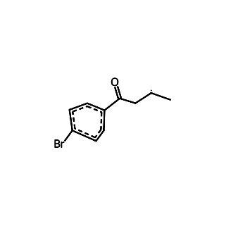 C[CH]CC(=O)c1ccc(Br)cc1